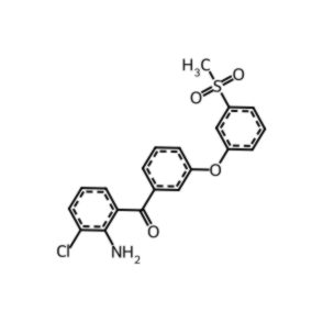 CS(=O)(=O)c1cccc(Oc2cccc(C(=O)c3cccc(Cl)c3N)c2)c1